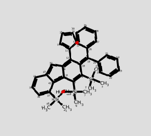 C[Si](C)(C)c1c([Si](C)(C)C)c2c(c(C3=CC=CC3)c1=C(c1ccccc1)c1ccccc1)[C]=c1cccc([Si](C)(C)C)c1=2